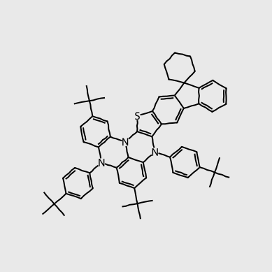 CC(C)(C)c1ccc(N2c3ccc(C(C)(C)C)cc3N3c4sc5cc6c(cc5c4N(c4ccc(C(C)(C)C)cc4)c4cc(C(C)(C)C)cc2c43)-c2ccccc2C62CCCCC2)cc1